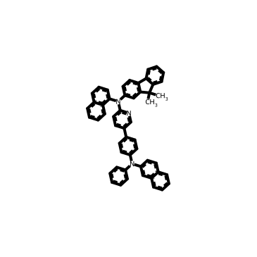 CC1(C)c2ccccc2-c2ccc(N(c3ccc(-c4ccc(N(c5ccccc5)c5ccc6ccccc6c5)cc4)cn3)c3cccc4ccccc34)cc21